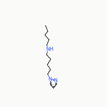 CCCCCNCCCCCn1cccn1